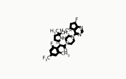 Cc1cc(C(F)(F)F)cc(F)c1C(C(=O)N1CCN(c2ncnc3c2[C@H](C)C[C@@H]3F)CC1)[C@@H]1CCC(C)(C)N1